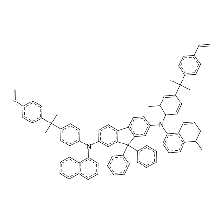 C=Cc1ccc(C(C)(C)C2=CC(C)C(N(c3ccc4c(c3)C(c3ccccc3)(c3ccccc3)c3cc(N(c5ccc(C(C)(C)c6ccc(C=C)cc6)cc5)c5cccc6ccccc56)ccc3-4)c3cccc4c3C=CCC4C)C=C2)cc1